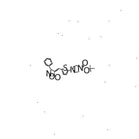 CC(C)(C)OC(=O)N1CCN(c2ccc(C=C3C(=O)ON=C3c3ccccc3)s2)CC1